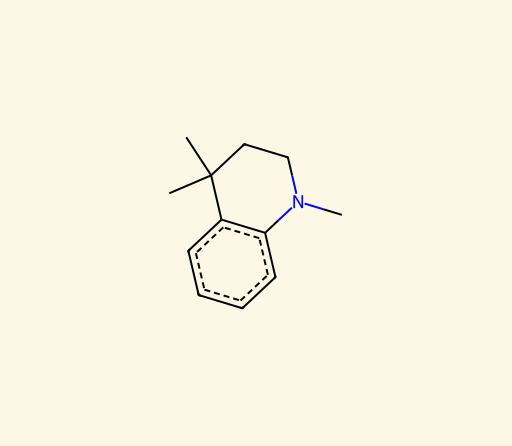 CN1CCC(C)(C)c2ccccc21